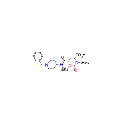 CCCCCCN(C(=O)OC(C)(C)C)C(CCC(=O)N(CC)C1CCN(Cc2ccccc2)CC1)C(=O)O